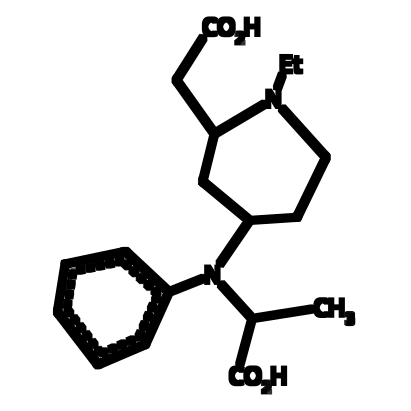 CCN1CCC(N(c2ccccc2)C(C)C(=O)O)CC1CC(=O)O